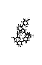 C=C(Nc1cncc(-c2ccc3[nH]nc(-c4cc5c(-c6ccc(F)cc6)nccc5[nH]4)c3c2)c1)C1CCC1